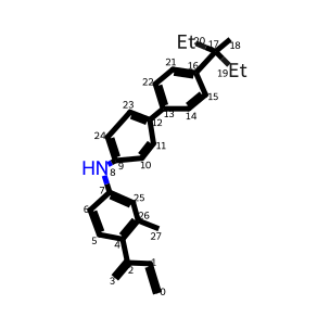 C=CC(=C)c1ccc(Nc2ccc(-c3ccc(C(C)(CC)CC)cc3)cc2)cc1C